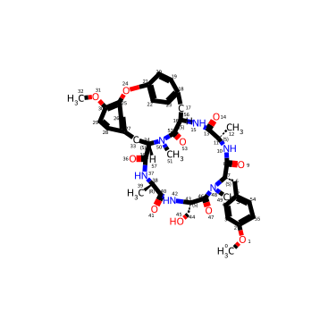 COc1ccc(C[C@H]2C(=O)N[C@@H](C)C(=O)N[C@H]3Cc4ccc(cc4)Oc4cc(ccc4OC)C[C@@H](C(=O)N[C@H](C)C(=O)N[C@@H](CO)C(=O)N2C)N(C)C3=O)cc1